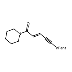 CCCCCC#CC=CC(=O)N1CCCCC1